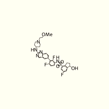 COCCN1CCC(Nc2ncc3cc(-c4c(F)ccc(NS(=O)(=O)c5cc(F)cc6c5CCC6O)c4F)ccc3n2)CC1